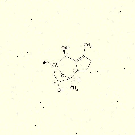 CC(=O)O[C@H]1C2=C(C)CC[C@H]2[C@]2(C)O[C@@]1(C(C)C)C[C@H]2O